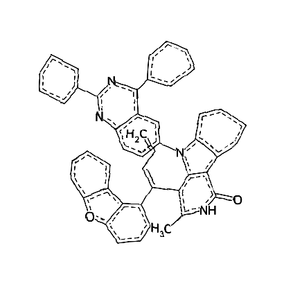 C=C/C=C(/c1cccc2oc3ccccc3c12)c1c(C)[nH]c(=O)c2c3ccccc3n(-c3ccc4nc(-c5ccccc5)nc(-c5ccccc5)c4c3)c12